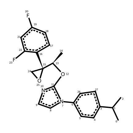 CC(C)c1ccc(-n2ccnc2O[C@H](C)[C@@]2(c3ccc(F)cc3F)CO2)cc1